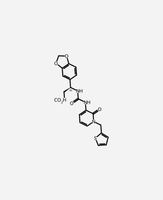 O=C(O)C[C@H](NC(=O)Nc1cccn(Cc2cccs2)c1=O)c1ccc2c(c1)OCO2